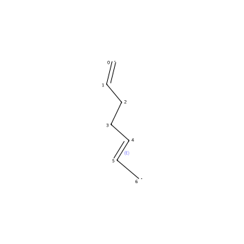 [CH]=CCC/C=C/[CH2]